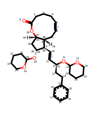 O=C1CCC/C=C\C[C@@H]2[C@@H](/C=C/[C@H](CCc3ccccc3)OC3CCCCO3)[C@H](OC3CCCCO3)C[C@@H]2O1